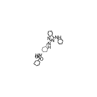 O=S(=O)(NC[C@H]1CC[C@H](CNc2nc(Nc3ccccc3)c3ccccc3n2)CC1)c1ccccc1